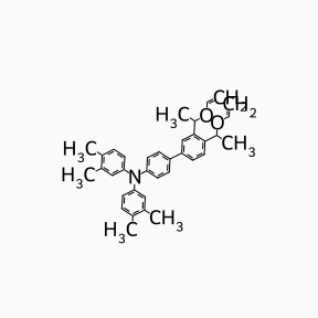 C=COC(C)c1ccc(-c2ccc(N(c3ccc(C)c(C)c3)c3ccc(C)c(C)c3)cc2)cc1C(C)OC=C